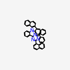 c1ccc(-c2ccc3c4ccc5ccccc5c4n(-c4ccccc4-c4nc(-c5ccccc5)nc(-c5cccc6ccccc56)n4)c3c2)cc1